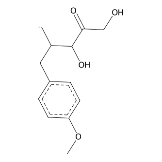 [CH2]C(Cc1ccc(OC)cc1)C(O)C(=O)CO